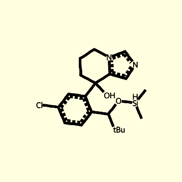 C[SiH](C)OC(c1ccc(Cl)cc1C1(O)CCCn2cncc21)C(C)(C)C